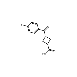 O=C(O)C1CN(C(=O)c2ccc(F)cc2)C1